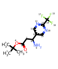 CC(C)(C)OC(=O)CC(N)c1cnc(C(F)(F)F)nc1